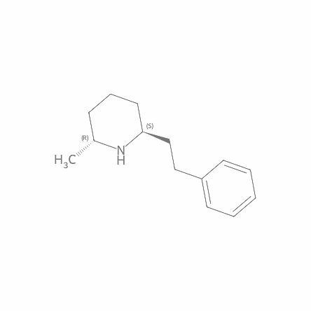 C[C@@H]1CCC[C@@H](CCc2ccccc2)N1